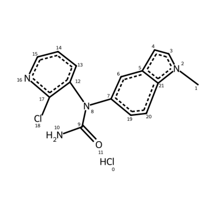 Cl.Cn1ccc2cc(N(C(N)=O)c3cccnc3Cl)ccc21